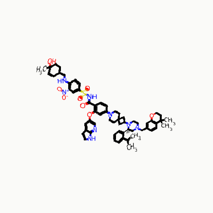 CC(C)c1ccccc1[C@@H]1CN(Cc2ccc3c(c2)OCCC3(C)C)CCN1C1CC2(CCN(c3ccc(C(=O)NS(=O)(=O)c4ccc(NCC5CCC(C)(O)CC5)c([N+](=O)[O-])c4)c(Oc4cnc5[nH]ccc5c4)c3)CC2)C1